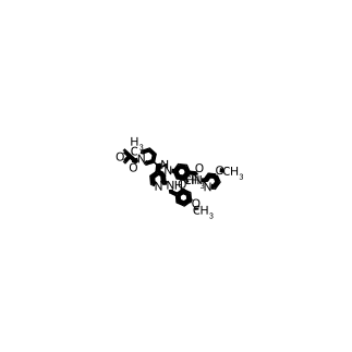 COc1ccnc(NC(=O)c2ccc(-n3nc([C@@H]4CCCN(C(=O)C5(C)COC5)C4)c4ccnc(NCc5ccc(OC)cc5OC)c43)cc2)c1